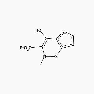 CCOC(=O)C1=C(O)c2sccc2SN1C